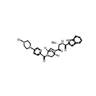 CCN1CCN(c2ccc(C(=O)N3C[C@@H]4C[C@H]3CN4C(=O)[C@@H](NC(=O)c3cc4ccccc4[nH]3)C(C)(C)C)nc2)CC1